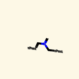 [CH2]N(CCCCCC)CCCCCC